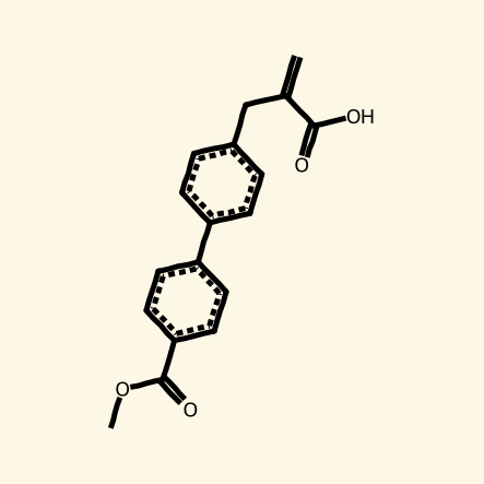 C=C(Cc1ccc(-c2ccc(C(=O)OC)cc2)cc1)C(=O)O